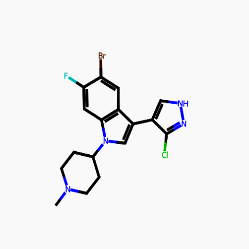 CN1CCC(n2cc(-c3c[nH]nc3Cl)c3cc(Br)c(F)cc32)CC1